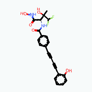 CC(O)(C(F)F)[C@H](NC(=O)c1ccc(C#CC#Cc2ccccc2O)cc1)C(=O)NO